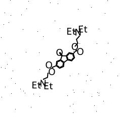 CCN(CC)CCCOC(=O)c1ccc2c(c1)C(=O)c1cc(C(=O)OCCCN(CC)CC)ccc1-2